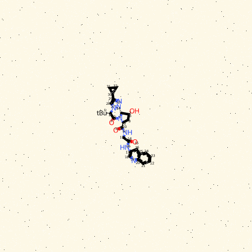 CC(C)(C)[C@@H](C(=O)N1C[C@H](O)C[C@H]1C(=O)NCC(=O)Nc1cnc2ccccc2c1)n1cc(C2CC2)nn1